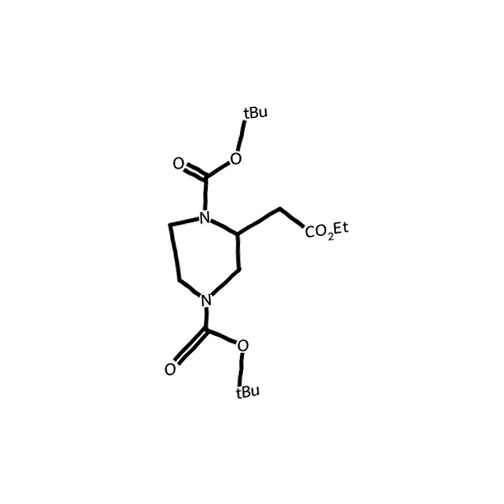 CCOC(=O)CC1CN(C(=O)OC(C)(C)C)CCN1C(=O)OC(C)(C)C